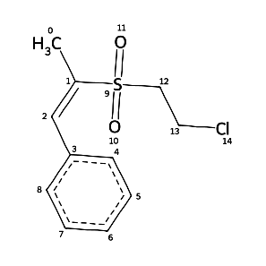 CC(=Cc1ccccc1)S(=O)(=O)CCCl